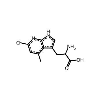 Cc1cc(Cl)nc2[nH]cc(CC(N)C(=O)O)c12